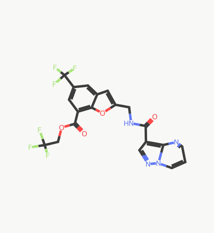 O=C(OCC(F)(F)F)c1cc(C(F)(F)F)cc2cc(CNC(=O)c3cnn4cccnc34)oc12